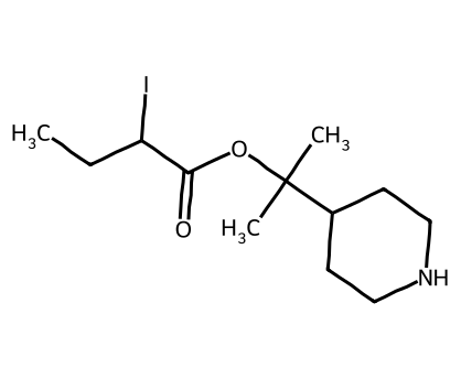 CCC(I)C(=O)OC(C)(C)C1CCNCC1